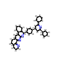 c1ccc(-c2cc(-c3ccc(-c4nc5nc6c(ccc7cccnc76)cc5c5ccccc45)cc3)cc(-c3ccccc3)n2)cc1